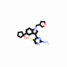 Nc1ncc(F)c(-c2cn(CC3CCOC3)c3ccc(C4(O)CCCC4)cc23)n1